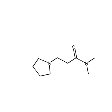 CN(C)C(=O)CCN1CCCC1